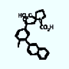 O=C(CC1(C(=O)O)CCCN1C(=O)O)c1ccc(I)c(-c2ccc3ccccc3c2)c1